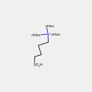 CCCCCC[N+](CCCCCC)(CCCCCC)CCCCS(=O)(=O)O